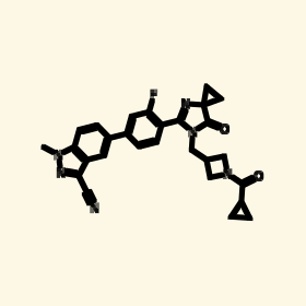 Cn1nc(C#N)c2cc(-c3ccc(C4=NC5(CC5)C(=O)N4CC4CN(C(=O)C5CC5)C4)c(F)c3)ccc21